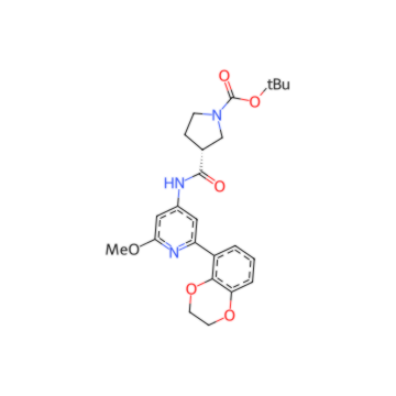 COc1cc(NC(=O)[C@@H]2CCN(C(=O)OC(C)(C)C)C2)cc(-c2cccc3c2OCCO3)n1